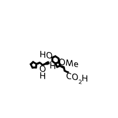 CO[C@@]12CC[C@H](O)[C@@H](C#CC(O)CC3CCCC3)[C@@H]1CC2=CCCC(=O)O